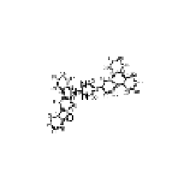 c1ccc2c(c1)oc1cc3c(cc12)c1ccccc1n3-c1ncc(-c2ccc3c4ccccc4c4ccccc4c3c2)cn1